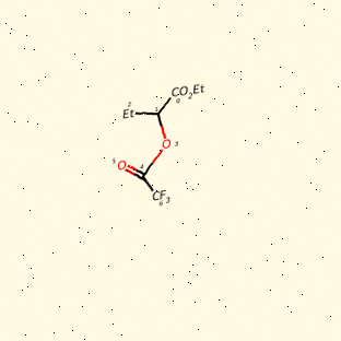 CCOC(=O)C(CC)OC(=O)C(F)(F)F